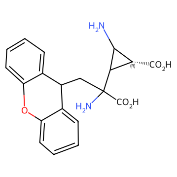 NC1C(C(N)(CC2c3ccccc3Oc3ccccc32)C(=O)O)[C@H]1C(=O)O